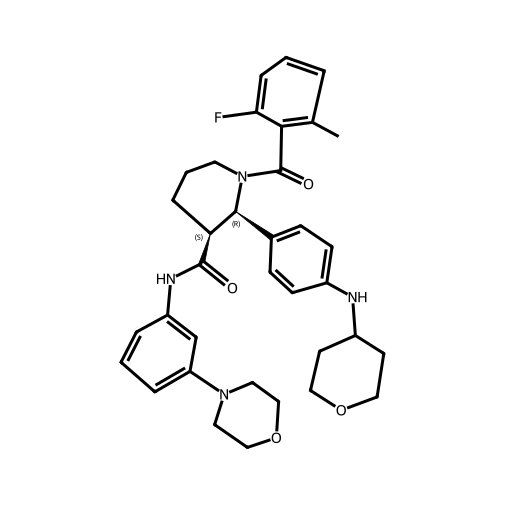 Cc1cccc(F)c1C(=O)N1CCC[C@H](C(=O)Nc2cccc(N3CCOCC3)c2)[C@@H]1c1ccc(NC2CCOCC2)cc1